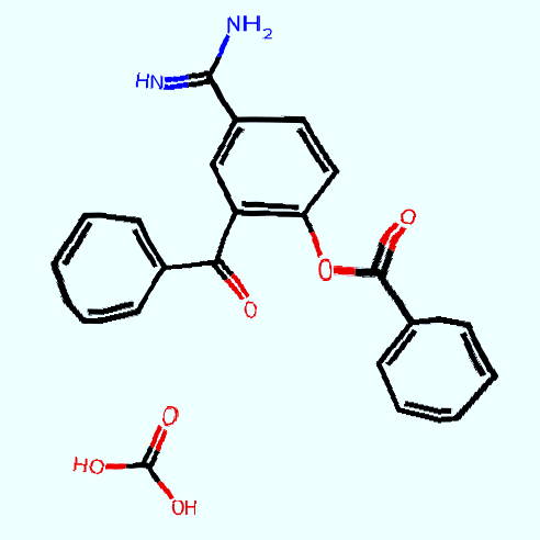 N=C(N)c1ccc(OC(=O)c2ccccc2)c(C(=O)c2ccccc2)c1.O=C(O)O